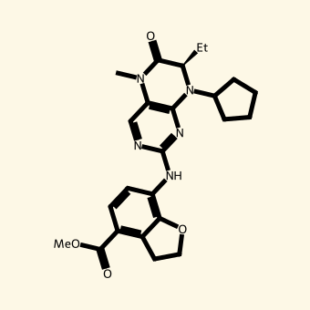 CC[C@@H]1C(=O)N(C)c2cnc(Nc3ccc(C(=O)OC)c4c3OCC4)nc2N1C1CCCC1